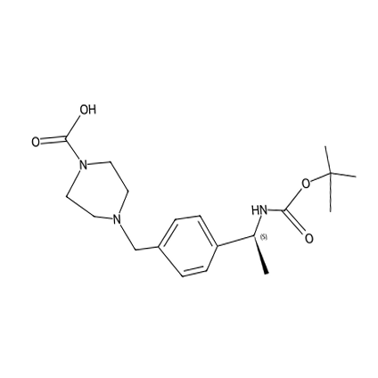 C[C@H](NC(=O)OC(C)(C)C)c1ccc(CN2CCN(C(=O)O)CC2)cc1